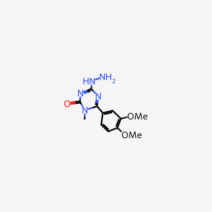 COc1ccc(-c2nc(NN)nc(=O)n2C)cc1OC